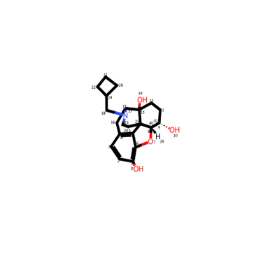 Oc1ccc2c3c1O[C@H]1[C@@H](O)CCC4(O)C(C2)N(CC2CCC2)CCC314